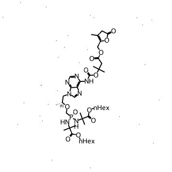 CCCCCCOC(=O)C(C)(C)NP(=O)(CO[C@H](C)Cn1cnc2c(NC(=O)OC(C)(C)CC(=O)OCC3=C(C)CC(=O)O3)ncnc21)NC(C)(C)C(=O)OCCCCCC